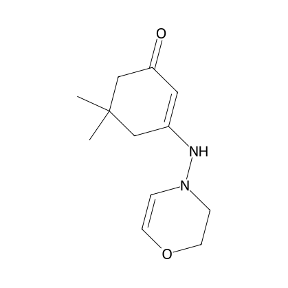 CC1(C)CC(=O)C=C(NN2C=COCC2)C1